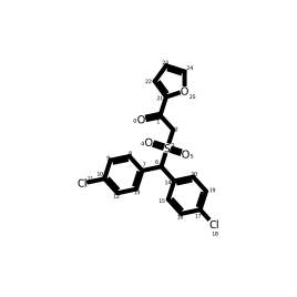 O=C(CS(=O)(=O)C(c1ccc(Cl)cc1)c1ccc(Cl)cc1)c1ccco1